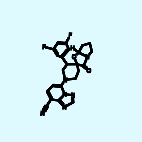 N#Cc1ccc(N2CCC3(O[C@@H]4CCCN4C3=O)C(c3cc(F)cc(F)c3)C2)n2ncnc12